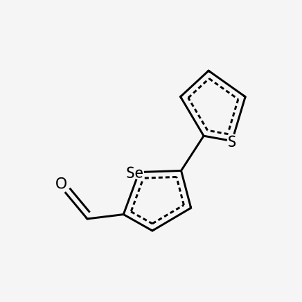 O=Cc1ccc(-c2cccs2)[se]1